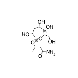 CC(CC(N)=O)O[C@H]1OC(CO)[C@@H](O)C(O)CC1O